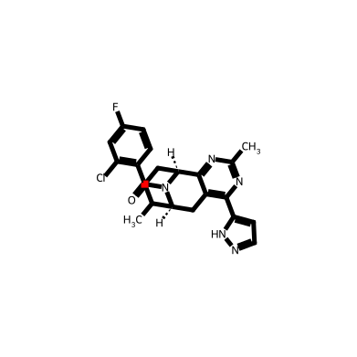 Cc1nc(-c2ccn[nH]2)c2c(n1)[C@@H]1CCC(C)[C@H](C2)N1C(=O)c1ccc(F)cc1Cl